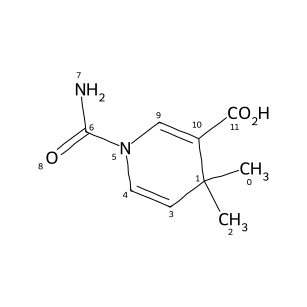 CC1(C)C=CN(C(N)=O)C=C1C(=O)O